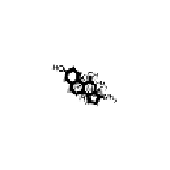 C[C@]12CC[C@H](O)CC1CC[C@@H]1[C@@H]2[C@@H](O)C[C@]2(C)C(N)CC[C@@H]12